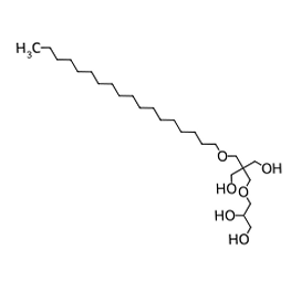 CCCCCCCCCCCCCCCCCCOCC(CO)(CO)COCC(O)CO